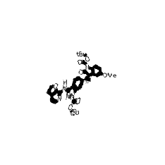 COc1ccc2c(c1)[C@]1(C[C@H]1c1ccc3c(Nc4nccc5c4OCC5)nn(C(=O)OC(C)(C)C)c3c1)C(=O)N2C(=O)OC(C)(C)C